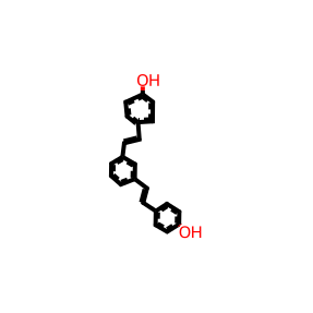 Oc1ccc(C=Cc2cccc(C=Cc3ccc(O)cc3)c2)cc1